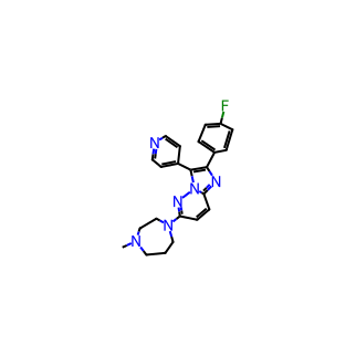 CN1CCCN(c2ccc3nc(-c4ccc(F)cc4)c(-c4ccncc4)n3n2)CC1